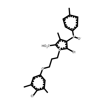 CCc1c([S+]([O-])c2ccc(C)cc2)c(C)c(C(=O)O)n1CCCOc1cc(C)c(Cl)c(C)c1